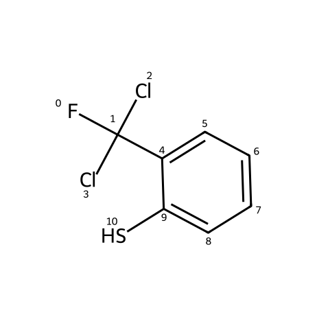 FC(Cl)(Cl)c1ccccc1S